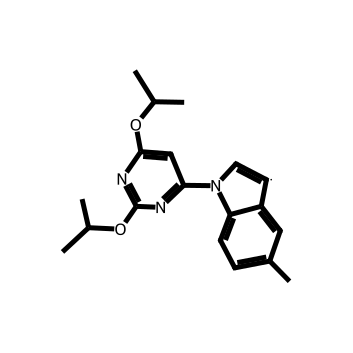 Cc1ccc2c([c]cn2-c2cc(OC(C)C)nc(OC(C)C)n2)c1